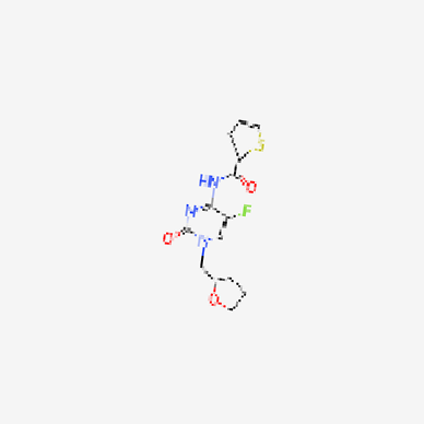 O=C(Nc1nc(=O)n(CC2CCCO2)cc1F)C1CC=CS1